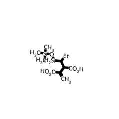 C=C(C(=O)O)C(C(=O)O)C(CC)[SiH2]O[Si](C)(C)C